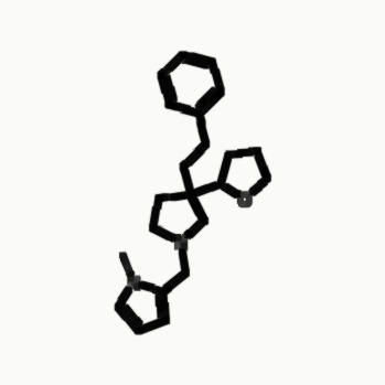 Cn1cccc1CN1CCC(CCc2ccccc2)(C2CCCO2)C1